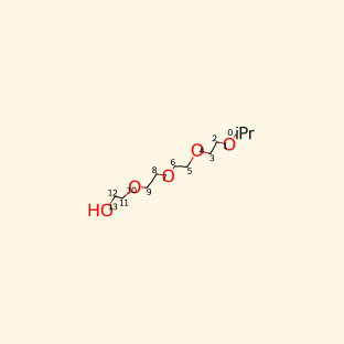 CC(C)OCCOCCOCCOCCO